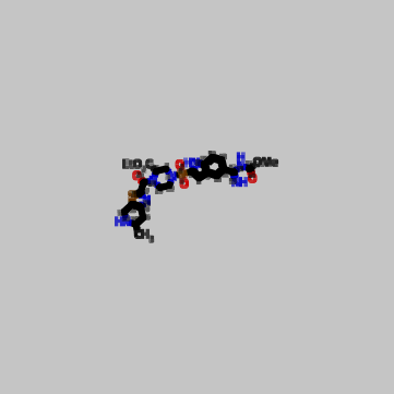 CCOC(=O)C1CN(S(=O)(=O)c2cc3cc(C(=N)NC(=O)OC)ccc3[nH]2)CCN1C(=O)c1nc2c(s1)CNC(C)C2